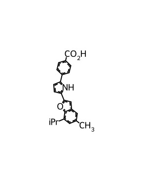 Cc1cc(C(C)C)c2oc(-c3ccc(-c4ccc(C(=O)O)cc4)[nH]3)cc2c1